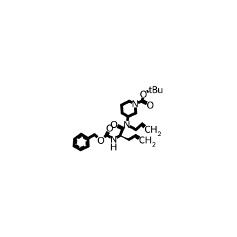 C=CC[C@@H](NC(=O)OCc1ccccc1)C(=O)N(CC=C)C1CCCN(C(=O)OC(C)(C)C)C1